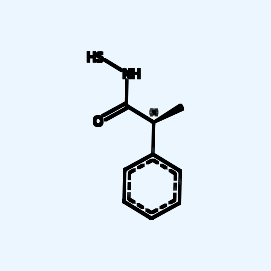 C[C@H](C(=O)NS)c1ccccc1